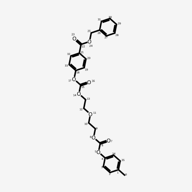 Cc1ccc(OC(=O)OCCOCCOC(=O)Oc2ccc(C(=O)OCc3ccccc3)cc2)cc1